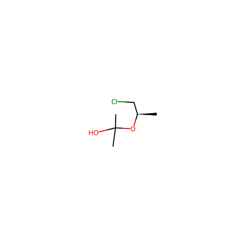 C[C@H](CCl)OC(C)(C)O